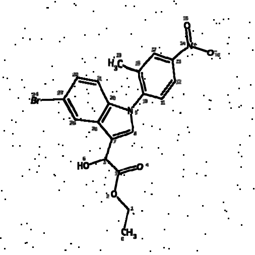 CCOC(=O)C(O)c1cn(-c2ccc([N+](=O)[O-])cc2C)c2ccc(Br)cc12